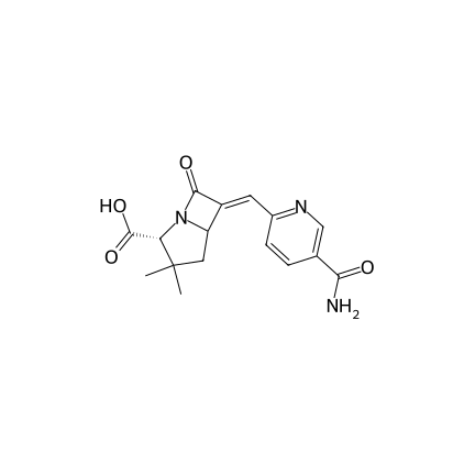 CC1(C)CC2/C(=C\c3ccc(C(N)=O)cn3)C(=O)N2[C@H]1C(=O)O